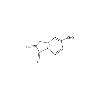 O=Cc1ccc2c(c1)CC(=O)C2=O